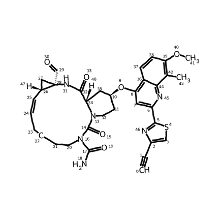 C#Cc1csc(-c2cc(O[C@H]3CCN4C(=O)N(C(N)=O)CCCC/C=C\[C@@H]5C[C@@]5([C]=O)NC(=O)[C@@H]4C3)c3ccc(OC)c(C)c3n2)n1